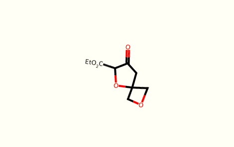 CCOC(=O)C1OC2(COC2)CC1=O